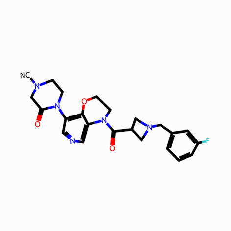 N#CN1CCN(c2cncc3c2OCCN3C(=O)C2CN(Cc3cccc(F)c3)C2)C(=O)C1